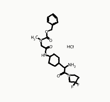 CN(CC(=O)NC1CCC(C(N)C(=O)N2CCC(F)(F)C2)CC1)C(=O)OCc1ccccc1.Cl